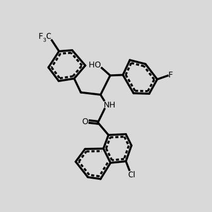 O=C(NC(Cc1ccc(C(F)(F)F)cc1)C(O)c1ccc(F)cc1)c1ccc(Cl)c2ccccc12